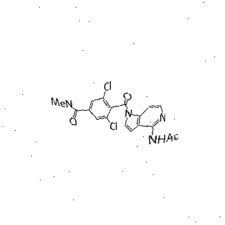 CNC(=O)c1cc(Cl)c(C(=O)n2ccc3c(NC(C)=O)nccc32)c(Cl)c1